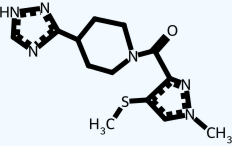 CSc1cn(C)nc1C(=O)N1CCC(c2nc[nH]n2)CC1